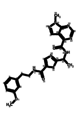 COc1cccc(CCNC(=O)c2cnc(C(C)NC(=O)c3ncnc4c3cnn4C)s2)c1